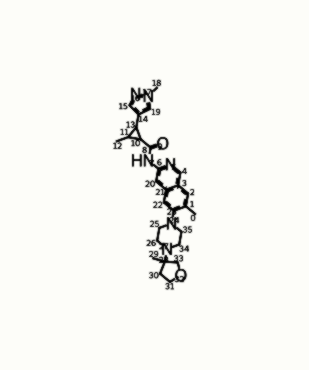 Cc1cc2cnc(NC(=O)C3C(C)C3c3cnn(C)c3)cc2cc1N1CCN(C2(C)CCOC2)CC1